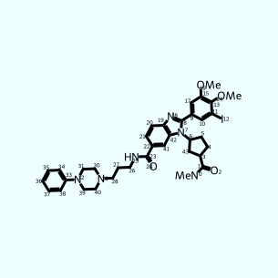 CNC(=O)C1CCC(n2c(-c3cc(I)c(OC)c(OC)c3)nc3ccc(C(=O)NCCCN4CCN(c5ccccc5)CC4)cc32)C1